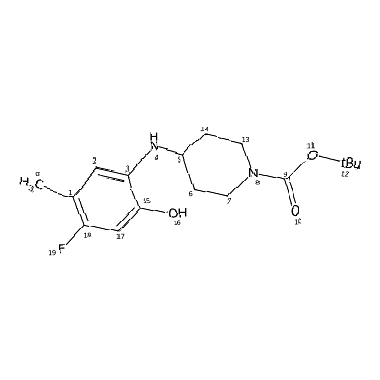 Cc1cc(NC2CCN(C(=O)OC(C)(C)C)CC2)c(O)cc1F